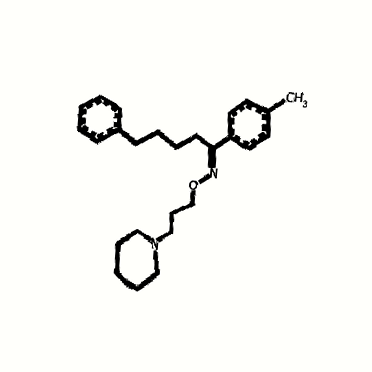 Cc1ccc(C(CCCCc2ccccc2)=NOCCCN2CCCCC2)cc1